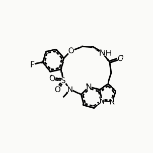 CN1c2ccn3ncc(c3n2)CC(=O)NCCOc2ccc(F)cc2S1(=O)=O